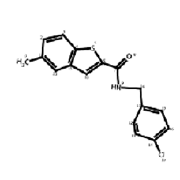 Cc1ccc2sc(C(=O)NCc3ccc(Cl)cc3)cc2c1